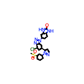 CS(=O)(=O)c1cccc(-n2nccc2-c2cc(Cl)c3nnn(-c4ccc5[nH]c(=O)[nH]c5c4)c3c2)c1